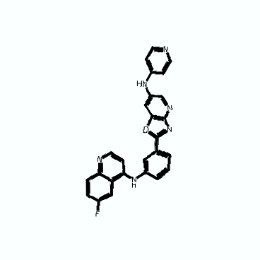 Fc1ccc2nccc(Nc3cccc(-c4nc5ncc(Nc6ccncc6)cc5o4)c3)c2c1